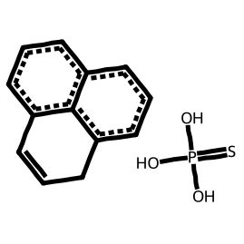 C1=Cc2cccc3cccc(c23)C1.OP(O)(O)=S